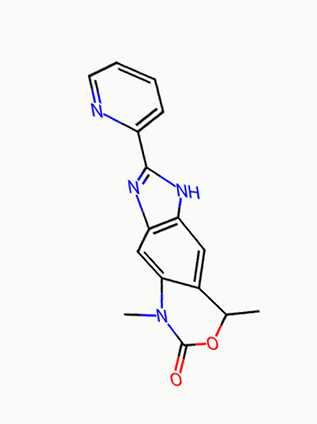 CC1OC(=O)N(C)c2cc3nc(-c4ccccn4)[nH]c3cc21